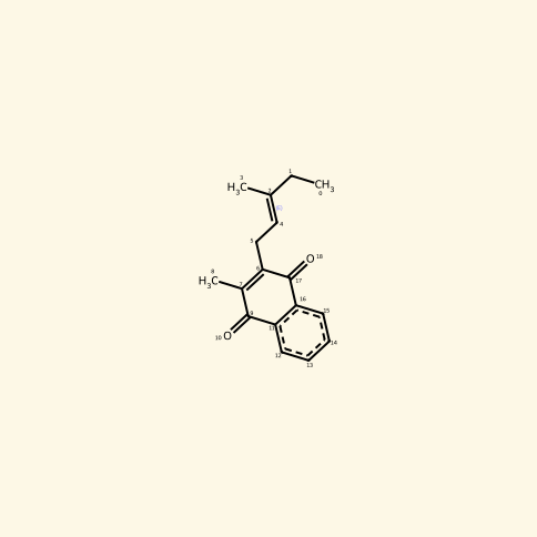 CC/C(C)=C/CC1=C(C)C(=O)c2ccccc2C1=O